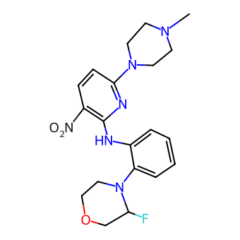 CN1CCN(c2ccc([N+](=O)[O-])c(Nc3ccccc3N3CCOCC3F)n2)CC1